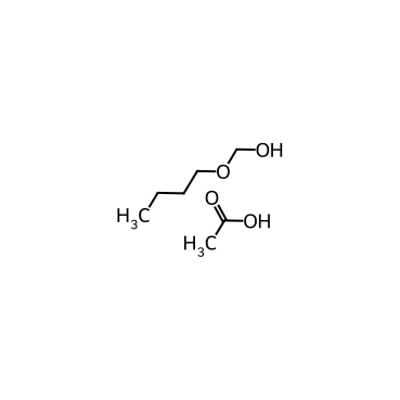 CC(=O)O.CCCCOCO